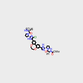 COC(=O)N[C@H](C(=O)N1CCC[C@H]1c1ncc(-c2ccc3c(c2)OCCCOc2cc(-c4[nH]c([C@@H]5CCCN5C(=O)[C@@H](NC(=O)O)C(C)C)nc4Cl)ccc2-3)[nH]1)C(C)C